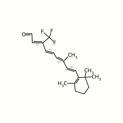 CC1=C(/C=C/C(C)=C/C=C/C(=C/C=O)C(F)(F)F)C(C)(C)CCC1